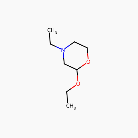 CCOC1CN(CC)CCO1